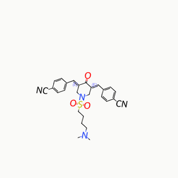 CN(C)CCCCS(=O)(=O)N1C/C(=C\c2ccc(C#N)cc2)C(=O)/C(=C/c2ccc(C#N)cc2)C1